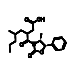 CCCC(C)CC(CC(=O)O)C(=O)N1C(=O)O[C@@H](c2ccccc2)[C@H]1C